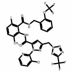 Cc1ccc(I)c(C(=O)NCc2ccccc2OC(F)(F)F)c1NC(=O)c1cc(Cn2nnc(C(F)(F)F)n2)nn1-c1ncccc1Cl